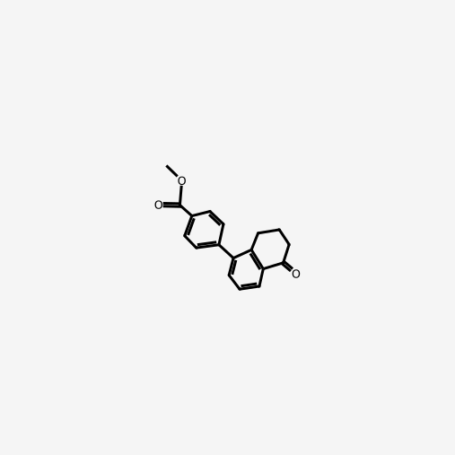 COC(=O)c1ccc(-c2cccc3c2CCCC3=O)cc1